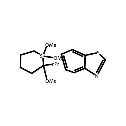 CCCC1(OC)CCCC[Si]1(OC)OC.c1ccc2scnc2c1